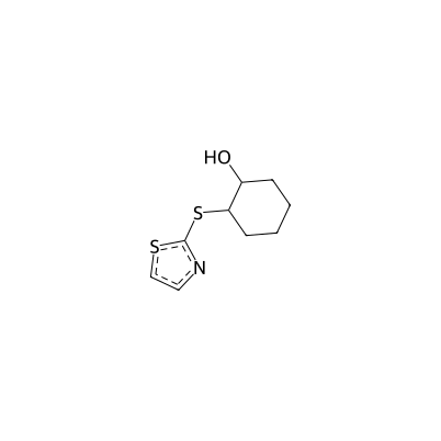 OC1CCCCC1Sc1nccs1